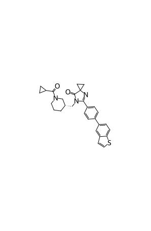 O=C(C1CC1)N1CCC[C@@H](CN2C(=O)C3(CC3)N=C2c2ccc(-c3ccc4sccc4c3)cc2)C1